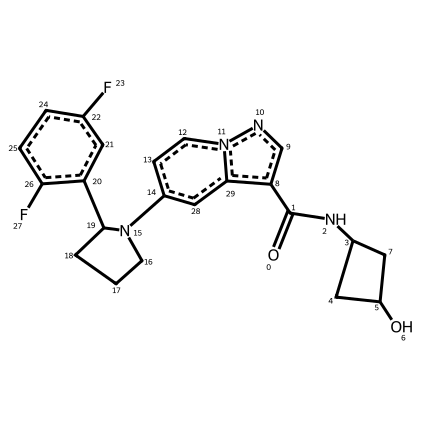 O=C(NC1CC(O)C1)c1cnn2ccc(N3CCCC3c3cc(F)ccc3F)cc12